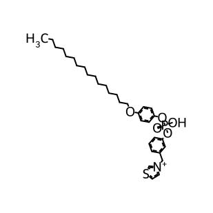 CCCCCCCCCCCCCCCCOc1ccc(OP(=O)(O)Oc2cccc(C[n+]3ccsc3)c2)cc1